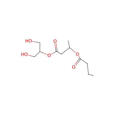 CCCC(=O)OC(C)CC(=O)OC(CO)CO